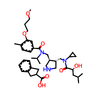 COCCCOc1cc(C(=O)N(C[C@@H]2CNC[C@H]2CN(C(=O)[C@@H](O)CC(C)C)C2CC2)C(C)C)ccc1C.O=C(O)C1Cc2ccccc2C1